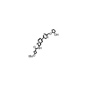 CC(C)(C)OC1CC(C(=O)Nc2cc3cc(-c4cnc(CO[C@H]5CCC[C@@H]5O)nc4)ccn3n2)C1